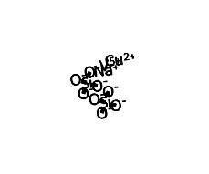 [Cu+2].[Na+].[O-][Si]([O-])([O-])[O-].[O-][Si]([O-])([O-])[O-].[V+5]